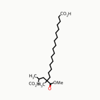 COC(=O)C(C)(CCCCCCCCCCCCCCCCC(=O)O)CC(C)C(=O)O